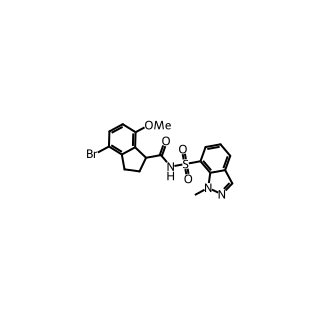 COc1ccc(Br)c2c1C(C(=O)NS(=O)(=O)c1cccc3cnn(C)c13)CC2